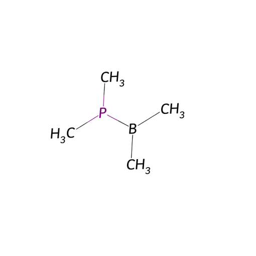 CB(C)P(C)C